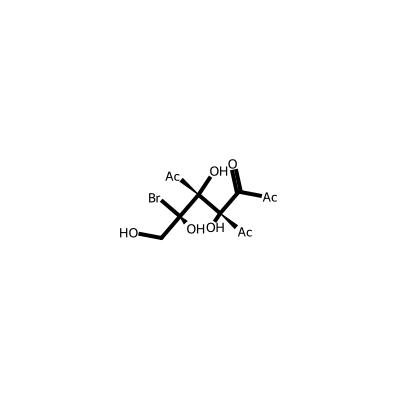 CC(=O)C(=O)[C@@](O)(C(C)=O)[C@](O)(C(C)=O)[C@@](O)(Br)CO